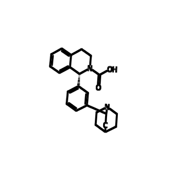 O=C(O)N1CCc2ccccc2[C@H]1c1cccc(C2CC3CCN2CC3)c1